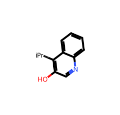 CC(C)c1c(O)cnc2ccccc12